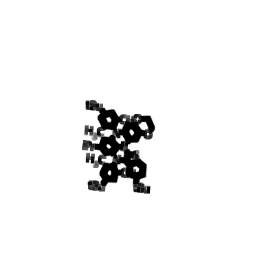 Cc1cc(C(C)(C)C)cc(C)c1N1c2cc3c(cc2B2c4sc5ccc(C(C)(C)C)cc5c4N(c4c(C)cc(C(C)(C)C)cc4C)c4cc(C(C)C)cc1c42)OCCO3